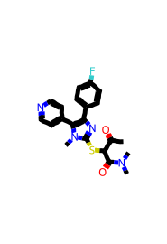 CC(=O)C(Sc1nc(-c2ccc(F)cc2)c(-c2ccncc2)n1C)C(=O)N(C)C